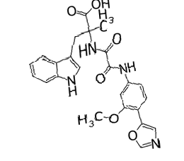 COc1cc(NC(=O)C(=O)NC(C)(Cc2c[nH]c3ccccc23)C(=O)O)ccc1-c1cnco1